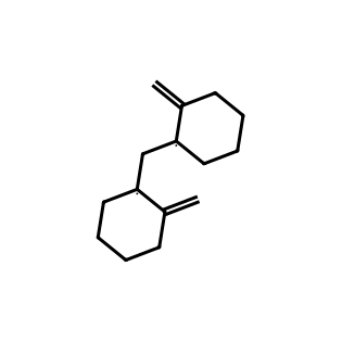 C=C1CCCC[C]1C[C]1CCCCC1=C